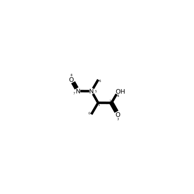 CC(C(=O)O)N(C)N=O